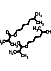 C=C(C)C(=O)OCCCCC(C)C.C=C(C)C(=O)OCCCCCC(C)C